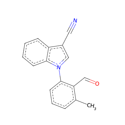 Cc1cccc(-n2cc(C#N)c3ccccc32)c1C=O